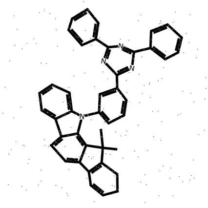 CC1(C)C2=C(C=CCC2)c2ccc3c4ccccc4n(-c4cccc(-c5nc(-c6ccccc6)nc(-c6ccccc6)n5)c4)c3c21